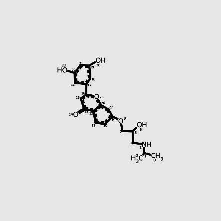 CC(C)NCC(O)COc1ccc2c(=O)cc(-c3cc(O)cc(O)c3)oc2c1